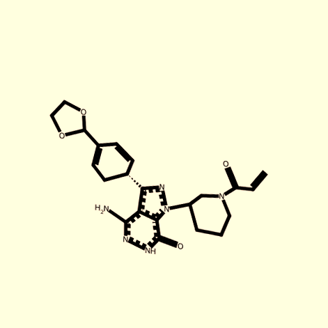 C=CC(=O)N1CCCC(n2nc([C@H]3C=CC(C4OCCO4)=CC3)c3c(N)n[nH]c(=O)c32)C1